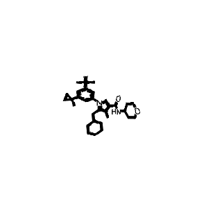 Cc1c(C(=O)NC2CCOCC2)cn(-c2cc(C(C)(C)C)cc(C3(C)CC3)c2)c1CC1CCCCC1